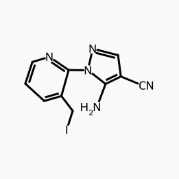 N#Cc1cnn(-c2ncccc2CI)c1N